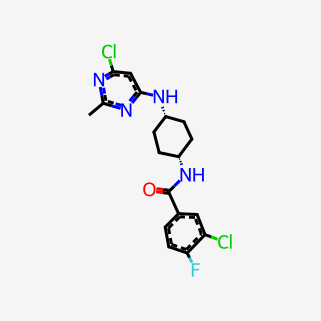 Cc1nc(Cl)cc(N[C@H]2CC[C@@H](NC(=O)c3ccc(F)c(Cl)c3)CC2)n1